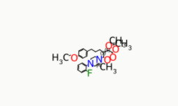 CCOc1ccc(CCC[C@H](C(=O)N2CCN(c3ccccc3F)C[C@H]2C)[C@@H]2OC(C)(C)OC2=O)cc1